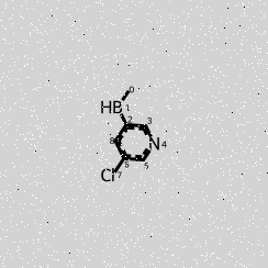 CBc1cncc(Cl)c1